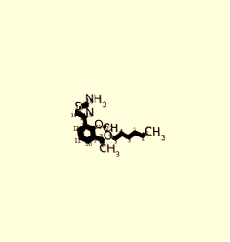 CCCCCCOC(C)c1cccc(-c2csc(N)n2)c1OC